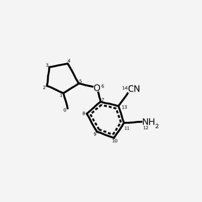 CC1CCCC1Oc1cccc(N)c1C#N